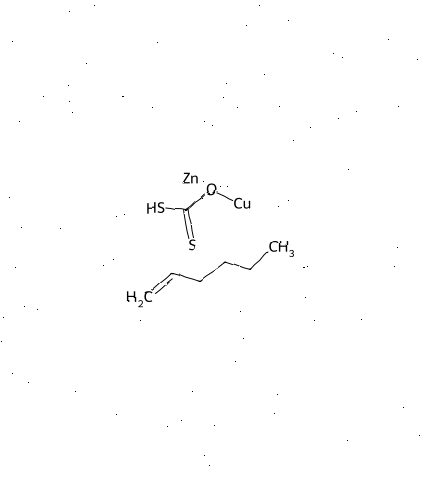 C=CCCCC.S=C(S)[O][Cu].[Zn]